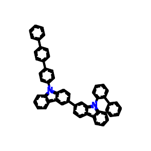 c1ccc(-c2ccc(-c3ccc(-n4c5ccccc5c5cc(-c6ccc7c8ccccc8n(-c8ccccc8-c8ccccc8)c7c6)ccc54)cc3)cc2)cc1